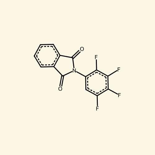 O=C1c2ccccc2C(=O)N1c1cc(F)c(F)c(F)c1F